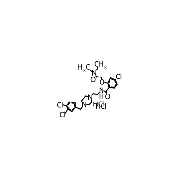 CCN(CC)C(=O)COc1cc(Cl)ccc1C(=O)NCCN1CCN(Cc2ccc(Cl)c(Cl)c2)CC1.Cl.Cl